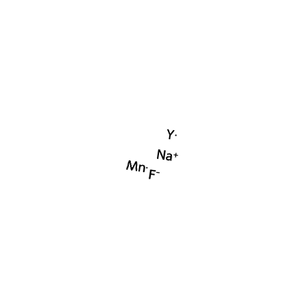 [F-].[Mn].[Na+].[Y]